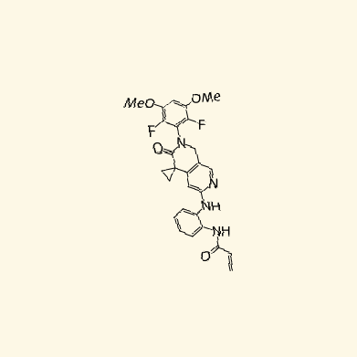 C=CC(=O)Nc1ccccc1Nc1cc2c(cn1)CN(c1c(F)c(OC)cc(OC)c1F)C(=O)C21CC1